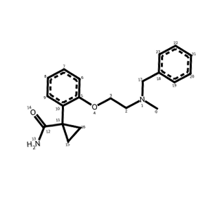 CN(CCOc1ccccc1C1(C(N)=O)CC1)Cc1ccccc1